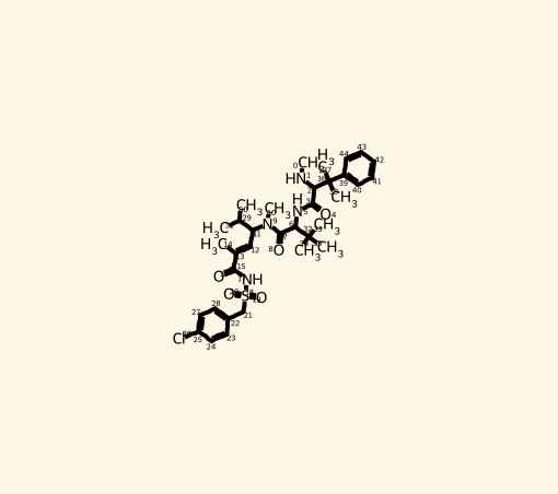 CNC(C(=O)NC(C(=O)N(C)C(C=C(C)C(=O)NS(=O)(=O)Cc1ccc(Cl)cc1)C(C)C)C(C)(C)C)C(C)(C)c1ccccc1